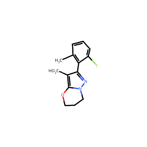 Cc1cccc(F)c1-c1nn2c(c1C(=O)O)OCCC2